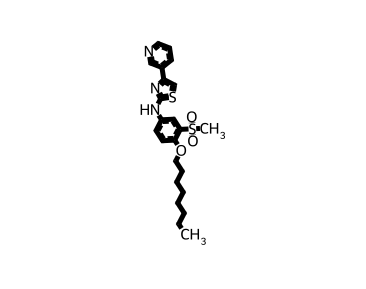 CCCCCCCCOc1ccc(Nc2nc(-c3cccnc3)cs2)cc1S(C)(=O)=O